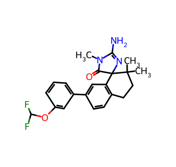 CN1C(=O)C2(N=C1N)c1cc(-c3cccc(OC(F)F)c3)ccc1CCC2(C)C